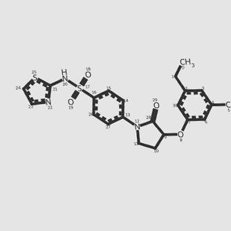 CCc1cc(C)cc(OC2CCN(c3ccc(S(=O)(=O)Nc4nccs4)cc3)C2=O)c1